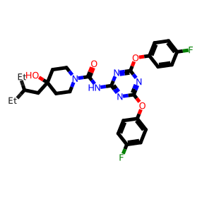 CCC(CC)CC1(O)CCN(C(=O)Nc2nc(Oc3ccc(F)cc3)nc(Oc3ccc(F)cc3)n2)CC1